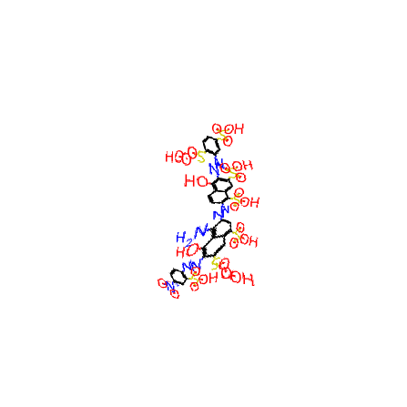 Nc1c(N=Nc2ccc3c(O)c(N=Nc4cc(S(=O)(=O)O)ccc4SOOO)c(S(=O)(=O)O)cc3c2S(=O)(=O)O)cc(S(=O)(=O)O)c2cc(SOOO)c(N=Nc3ccc([N+](=O)[O-])cc3S(=O)(=O)O)c(O)c12